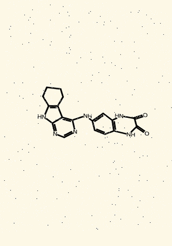 O=c1[nH]c2ccc(Nc3ncnc4[nH]c5c(c34)CCCC5)cc2[nH]c1=O